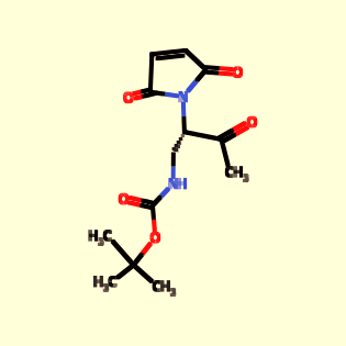 CC(=O)[C@H](CNC(=O)OC(C)(C)C)N1C(=O)C=CC1=O